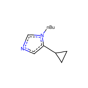 CCCCn1cncc1C1CC1